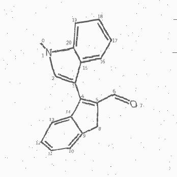 Cn1cc(C2=C(C=O)Cc3ccccc32)c2ccccc21